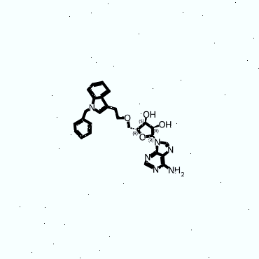 Nc1ncnc2c1ncn2[C@@H]1O[C@H](COCCc2cn(Cc3ccccc3)c3ccccc23)[C@@H](O)[C@H]1O